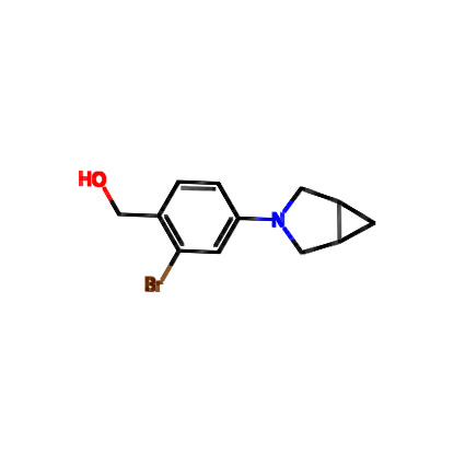 OCc1ccc(N2CC3CC3C2)cc1Br